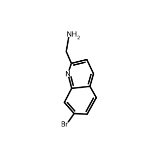 NCc1ccc2ccc(Br)cc2n1